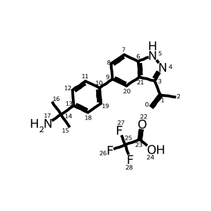 C=C(C)c1n[nH]c2ccc(-c3ccc(C(C)(C)N)cc3)cc12.O=C(O)C(F)(F)F